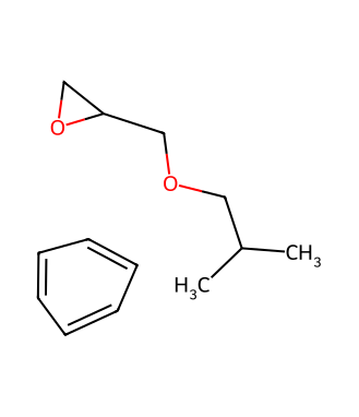 CC(C)COCC1CO1.c1ccccc1